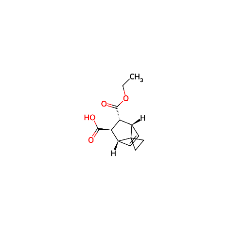 CCOC(=O)[C@H]1[C@H](C(=O)O)[C@H]2C=C[C@@H]1C21CC1